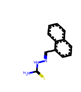 NC(=S)NN=Cc1cccc2ccccc12